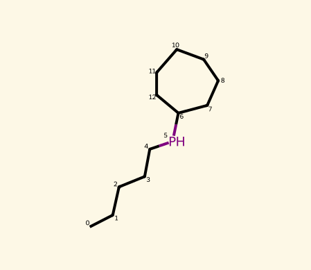 CCCCCPC1CCCCCC1